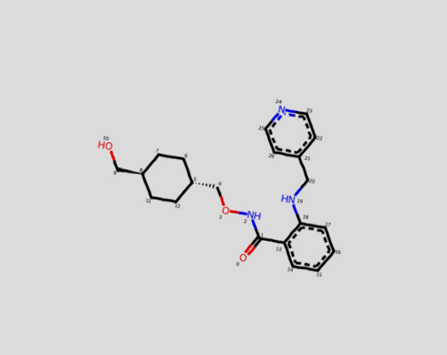 O=C(NOC[C@H]1CC[C@H](CO)CC1)c1ccccc1NCc1ccncc1